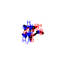 CCn1nc(C)cc1C(=O)Nc1nc2cc(C(=O)O)cc(OC)c2n1C/C=C/Cn1c(NC(=O)c2cc(C)nn2CC)nc2cc(C(N)=O)cc(OCC#CC3CCN(C(=O)OC(C)(C)C)C3)c21